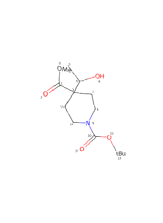 COC(=O)C1(C(C)O)CCN(C(=O)OC(C)(C)C)CC1